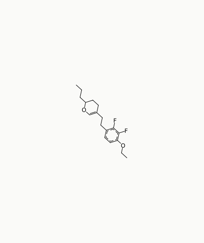 CCCC1CCC(CCc2ccc(OCC)c(F)c2F)=CO1